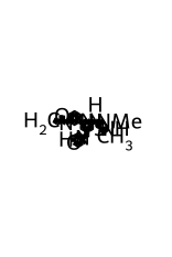 C=CC(=O)Nc1cccc(-c2cc(CN3CCOCC3)cc(NC(NC)SC(C)=N)n2)c1